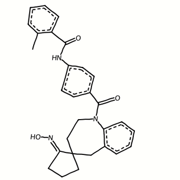 Cc1ccccc1C(=O)Nc1ccc(C(=O)N2CCC3(CCCC3=NO)Cc3ccccc32)cc1